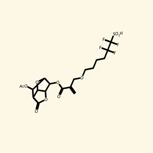 C=C(COCCCCC(F)(F)C(F)(F)S(=O)(=O)O)C(=O)OC1C2OC3C1OC(=O)C3C2OC(C)=O